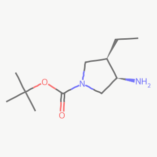 CC[C@@H]1CN(C(=O)OC(C)(C)C)C[C@@H]1N